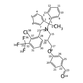 CC(c1ccccc1)(c1ccccc1)N(CCCOc1ccc(C=O)cc1)Cc1cccc(C(F)(F)F)c1Cl